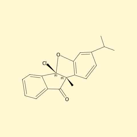 CC(C)c1ccc2c(c1)O[C@@]1(Cl)c3ccccc3C(=O)[C@@]21C